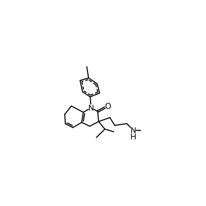 CNCCCC1(C(C)C)CC2=C(CCC=C2)N(c2ccc(C)cc2)C1=O